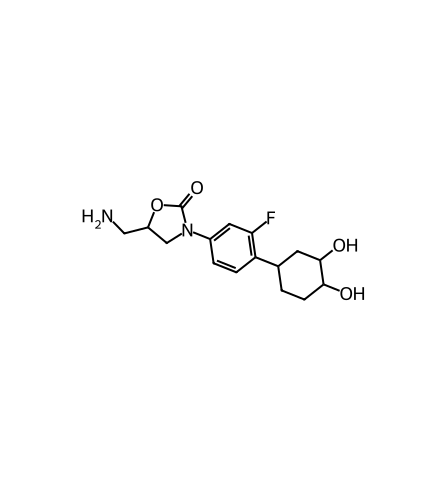 NCC1CN(c2ccc(C3CCC(O)C(O)C3)c(F)c2)C(=O)O1